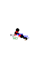 COc1ccc(-c2ccccc2)c2sc(NC(=O)c3ccc(C(N)Cc4cccs4)cc3)nc12.Cl